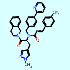 Cn1cc(C[C@@H](C(=O)N2CCc3ccccc3C2)N(Cc2ccc(-c3ccccn3)cc2)C(=O)C=Cc2ccc(C(F)(F)F)cc2)cn1